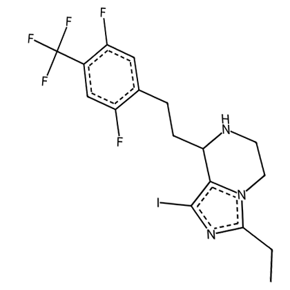 CCc1nc(I)c2n1CCNC2CCc1cc(F)c(C(F)(F)F)cc1F